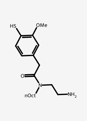 CCCCCCCCN(CCN)C(=O)Cc1ccc(S)c(OC)c1